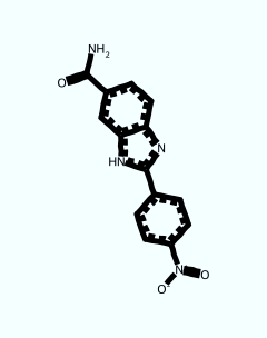 NC(=O)c1ccc2nc(-c3ccc([N+](=O)[O-])cc3)[nH]c2c1